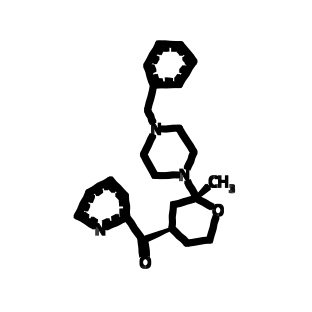 C[C@]1(N2CCN(Cc3ccccc3)CC2)C[C@H](C(=O)c2ccccn2)CCO1